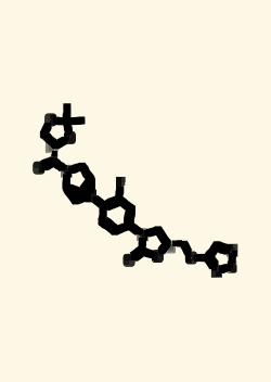 CC1(C)OC[C@@H](C(=O)N2CC3CC2CN3c2ccc(N3C[C@H](COc4cnsn4)OC3=O)cc2F)O1